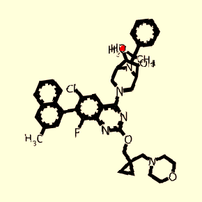 Cc1cc(-c2c(Cl)cc3c(N4CC5C(O)C(O)C(C4)N5C(C)(C)c4ccccc4)nc(OCC4(CN5CCOCC5)CC4)nc3c2F)c2ccccc2c1